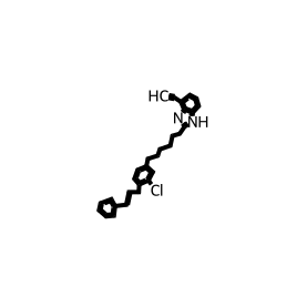 C#Cc1cccc2[nH]c(CCCCCCc3ccc(CC=Cc4ccccc4)c(Cl)c3)nc12